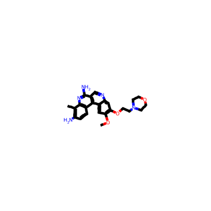 COc1cc2c(cc1OCCN1CCOCC1)ncc1c(N)nc3c(C)c(N)ccc3c12